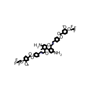 COc1cc(C(=O)Oc2ccc(/C=C/C(=O)c3cc(N)ccc3-c3ccc(N)c(C)c3C(=O)/C=C/c3ccc(OC(=O)c4ccc(OCC(F)(F)F)c(OC)c4)cc3)cc2)ccc1OCC(F)(F)F